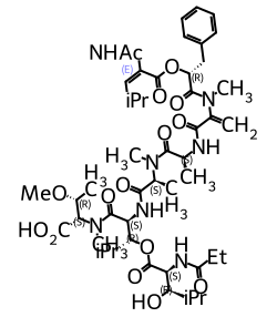 C=C(C(=O)N[C@@H](C)C(=O)N(C)[C@@H](C)C(=O)N[C@H](C(=O)N(C)[C@H](C(=O)O)[C@@H](C)OC)[C@H](OC(=O)[C@@H](NC(=O)CC)[C@H](O)C(C)C)C(C)C)N(C)C(=O)[C@@H](Cc1ccccc1)OC(=O)/C(=C\C(C)C)NC(C)=O